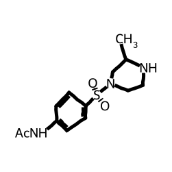 CC(=O)Nc1ccc(S(=O)(=O)N2CCNC(C)C2)cc1